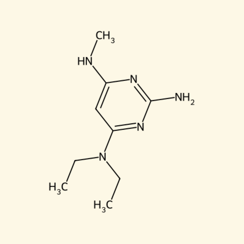 CCN(CC)c1cc(NC)nc(N)n1